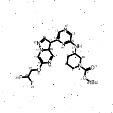 CC(C)(C)OC(=O)N1CCC[C@@H](Nc2cncc(C3C=NN4C=C(OCC(F)F)N=CC34)n2)C1